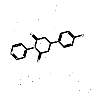 O=C1CC(c2ccc(Cl)cc2)CC(=O)N1c1ccncc1